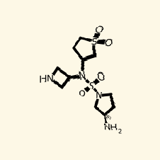 N[C@@H]1CCN(S(=O)(=O)N(C2CNC2)C2CCS(=O)(=O)C2)C1